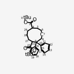 CC(C)(C)OC(=O)C1CCCCC(c2ccccc2)(c2ccccc2)C(C(=O)OC(C)(C)C)CCC1